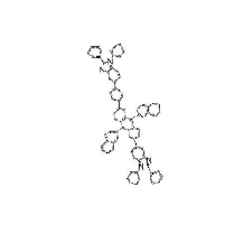 c1ccc(-c2nc3cc(-c4ccc(-c5ccc6c(-c7ccc8ccccc8c7)c7cc(-c8ccc9c(c8)nc(-c8ccccc8)n9-c8ccccc8)ccc7c(-c7ccc8ccccc8c7)c6c5)cc4)ccc3n2-c2ccccc2)cc1